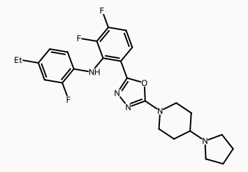 CCc1ccc(Nc2c(-c3nnc(N4CCC(N5CCCC5)CC4)o3)ccc(F)c2F)c(F)c1